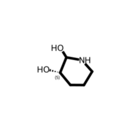 OC1NCCC[C@@H]1O